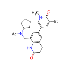 CCc1cc(-c2cc3c(c(CN(C(C)=O)C4CCCC4)c2)NC(=O)CC3)cn(C)c1=O